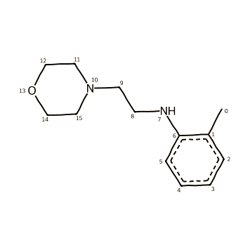 Cc1ccccc1NCCN1CCOCC1